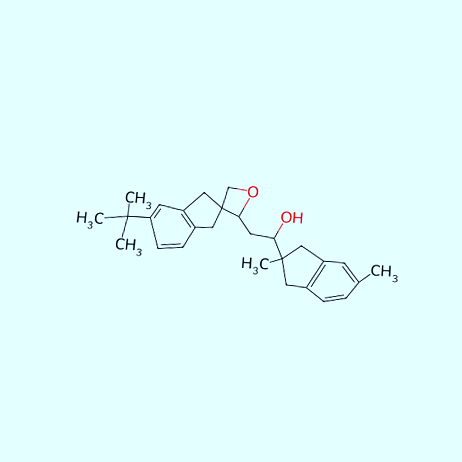 Cc1ccc2c(c1)CC(C)(C(O)CC1OCC13Cc1ccc(C(C)(C)C)cc1C3)C2